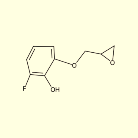 Oc1c(F)cccc1OCC1CO1